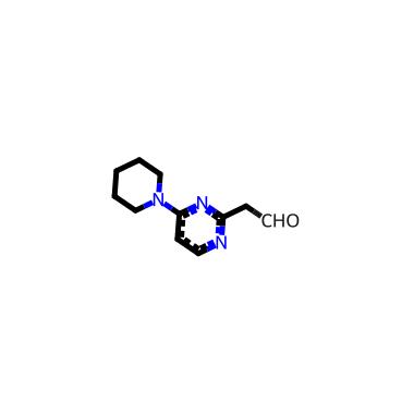 O=CCc1nccc(N2CCCCC2)n1